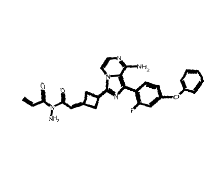 C=CC(=O)N(N)C(=O)C=C1CC(c2nc(-c3ccc(Oc4ccccc4)cc3F)c3c(N)nccn23)C1